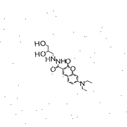 CCN(CC)c1ccc2cc(C(=O)NNCC(O)CO)c(=O)oc2c1